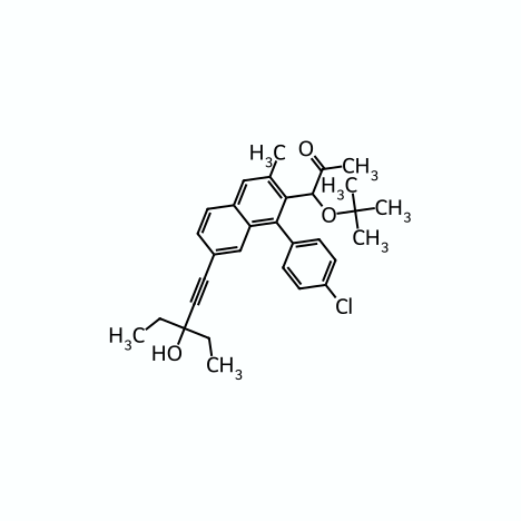 CCC(O)(C#Cc1ccc2cc(C)c(C(OC(C)(C)C)C(C)=O)c(-c3ccc(Cl)cc3)c2c1)CC